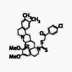 CCC1CN2CCc3cc(C)c(C)cc3C2CC1CC1c2cc(OC)c(OC)cc2CCN1C(=S)SCC(=O)c1ccc(Cl)cc1